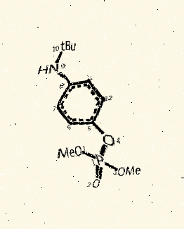 COP(=O)(OC)Oc1ccc(NC(C)(C)C)cc1